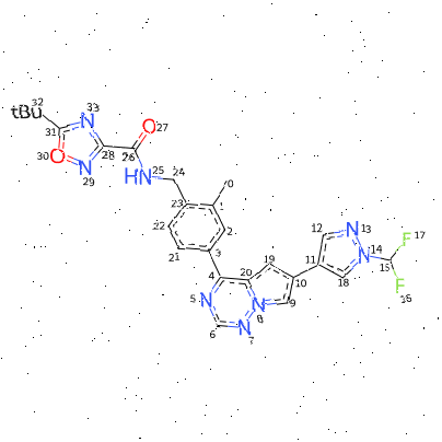 Cc1cc(-c2ncnn3cc(-c4cnn(C(F)F)c4)cc23)ccc1CNC(=O)c1noc(C(C)(C)C)n1